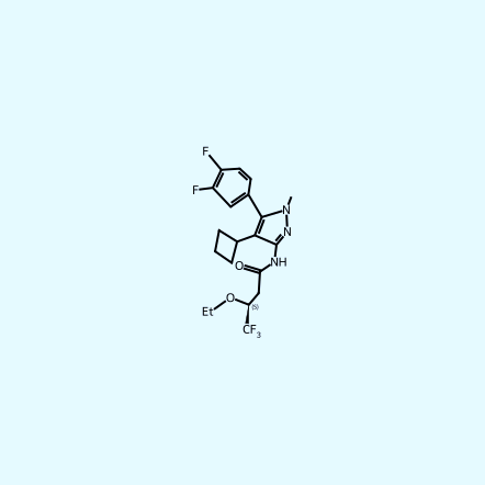 CCO[C@@H](CC(=O)Nc1nn(C)c(-c2ccc(F)c(F)c2)c1C1CCC1)C(F)(F)F